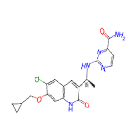 C[C@H](Nc1nccc(C(N)=O)n1)c1cc2cc(Cl)c(OCC3CC3)cc2[nH]c1=O